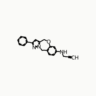 C#CCNc1ccc2c(c1)OCc1cc(-c3ccccc3)nn1C2